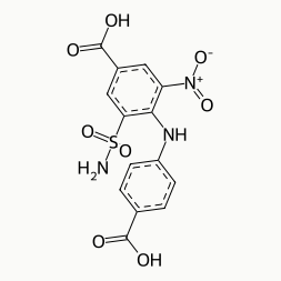 NS(=O)(=O)c1cc(C(=O)O)cc([N+](=O)[O-])c1Nc1ccc(C(=O)O)cc1